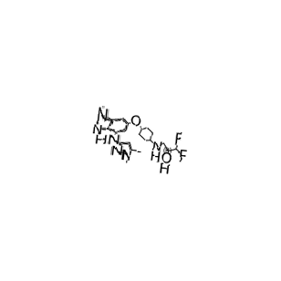 Cc1cc(Nc2cc(OC3CCC(NC[C@@H](O)C(F)F)CC3)cc3c2ncn3C)nn1C